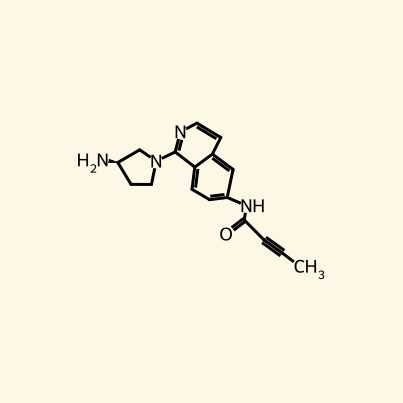 CC#CC(=O)Nc1ccc2c(N3CC[C@@H](N)C3)nccc2c1